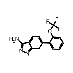 NC1=NN=C2CC(c3ccccc3OC(F)(F)F)=CC=C12